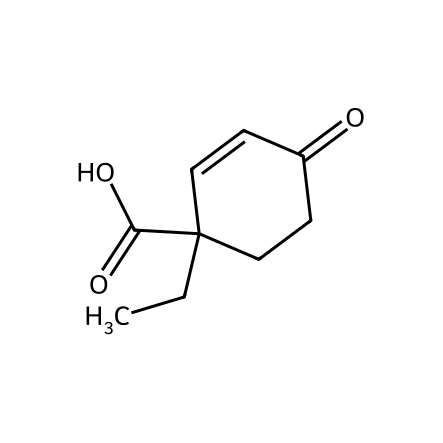 CCC1(C(=O)O)C=CC(=O)CC1